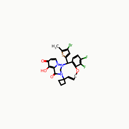 Cc1sc(C2c3ccc(F)c(F)c3OC/C=C/C3(CCC3)N3CN2n2ccc(=O)c(O)c2C3=O)cc1Br